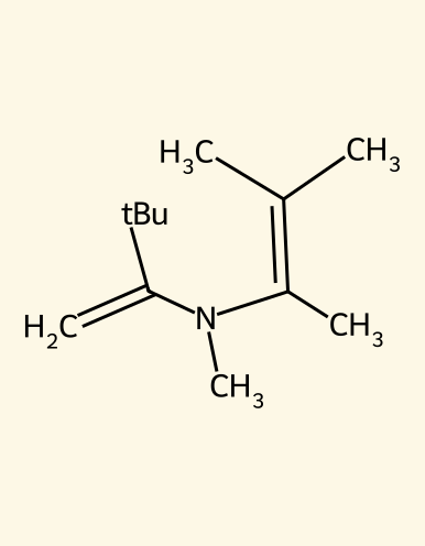 C=C(N(C)C(C)=C(C)C)C(C)(C)C